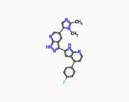 Cc1ncc(-c2cnc3[nH]nc(-c4cc5c(-c6ccc(F)cc6)ccnc5[nH]4)c3c2)n1C